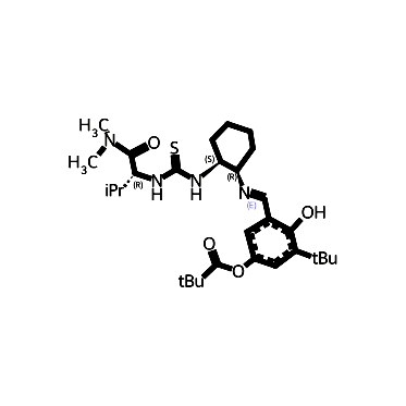 CC(C)[C@@H](NC(=S)N[C@H]1CCCC[C@H]1/N=C/c1cc(OC(=O)C(C)(C)C)cc(C(C)(C)C)c1O)C(=O)N(C)C